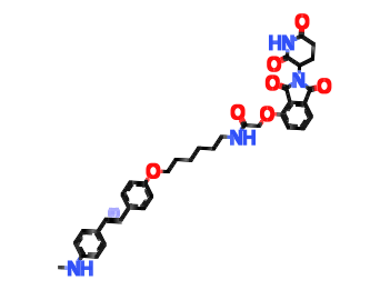 CNc1ccc(/C=C/c2ccc(OCCCCCCNC(=O)COc3cccc4c3C(=O)N(C3CCC(=O)NC3=O)C4=O)cc2)cc1